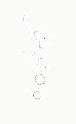 Cc1ncsc1-c1ccc([C@H](C)NC(=O)[C@@H]2C[C@@H](O)CN2C(=O)[C@@H](NC(=O)CCCN)C(C)(C)C)cc1